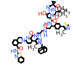 Cc1ncsc1-c1ccc(C(CC(=O)NCCCNC(=O)c2nc(N3CCc4cccc(C(=O)Nc5nc6ccccc6s5)c4C3)ccc2-c2cnn(CC34CC5CC(CC(C5)C3)C4)c2C)NC(=O)[C@@H]2C[C@@H](O)CN2C(=O)C(NC(=O)C2(C#N)CC2)C(C)(C)C)cc1